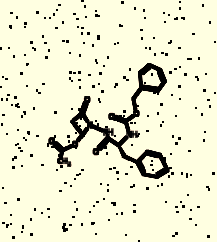 CC(=O)OC1CC(=O)N1NC(=O)[C@H](Cc1ccccc1)NC(=O)OCc1ccccc1